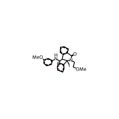 COCCN1C(=O)c2ccccc2C(C(=O)Nc2cccc(OC)c2)C1(I)c1ccccc1